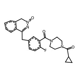 O=C(c1cc(CC2=N[N+](=O)Cc3ccccc32)ccc1F)N1CCN(C(=O)C2CC2)CC1